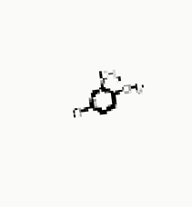 [CH2]c1ccc(Cl)cc1C